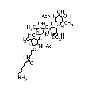 CC(=O)N[C@H]1C(O)[C@H](O)C(C)O[C@H]1O[C@H]1C(O)[C@H](O)C(C(=O)O)O[C@H]1OC1[C@H](O)C(C)O[C@@H](OC2[C@@H](O)C(C)O[C@@H](OCCNC(=O)CCCCCN)[C@H]2NC(C)=O)[C@H]1NC(C)=O